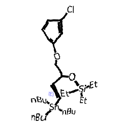 CCC[CH2][Sn](/[CH]=C/C(COc1cccc(Cl)c1)O[Si](CC)(CC)CC)([CH2]CCC)[CH2]CCC